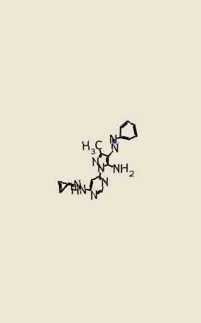 Cc1nn(-c2cc(NN=c3cc3)ncn2)c(N)c1/N=N/c1ccccc1